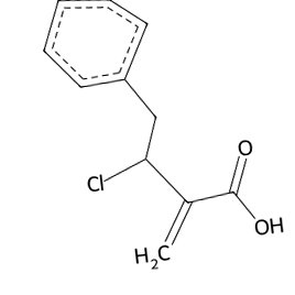 C=C(C(=O)O)C(Cl)Cc1ccccc1